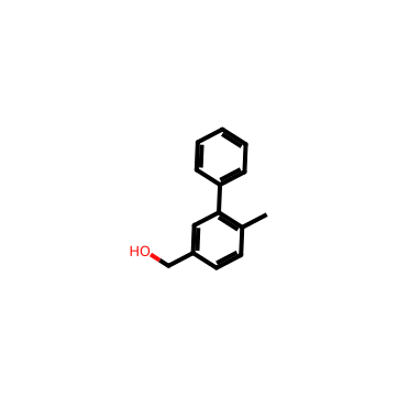 Cc1ccc(CO)cc1-c1ccccc1